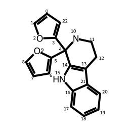 c1coc(C2(c3ccco3)[N]CCc3c2[nH]c2ccccc32)c1